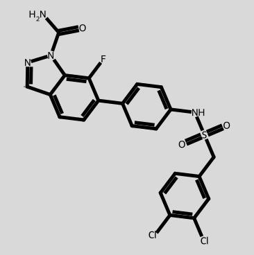 NC(=O)n1n[c]c2ccc(-c3ccc(NS(=O)(=O)Cc4ccc(Cl)c(Cl)c4)cc3)c(F)c21